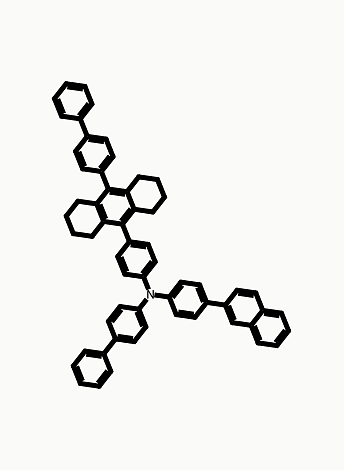 c1ccc(-c2ccc(-c3c4c(c(-c5ccc(N(c6ccc(-c7ccccc7)cc6)c6ccc(-c7ccc8ccccc8c7)cc6)cc5)c5c3CCCC5)CCCC4)cc2)cc1